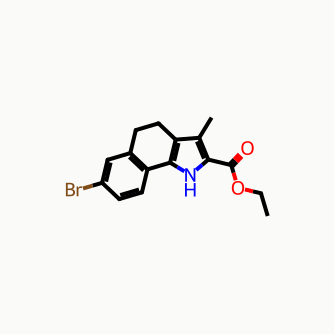 CCOC(=O)c1[nH]c2c(c1C)CCc1cc(Br)ccc1-2